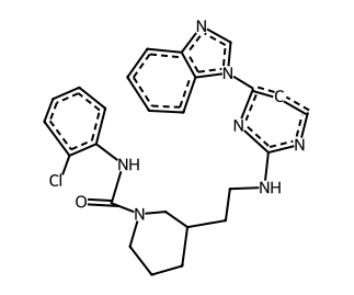 O=C(Nc1ccccc1Cl)N1CCCC(CCNc2nccc(-n3cnc4ccccc43)n2)C1